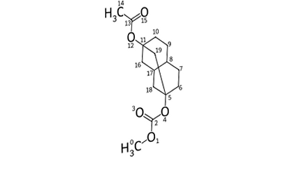 COC(=O)OC12CCC3CCC(OC(C)=O)(CC3C1)C2